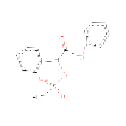 CS(=O)(=O)OC(C(=O)Oc1ccccc1)c1ccccc1